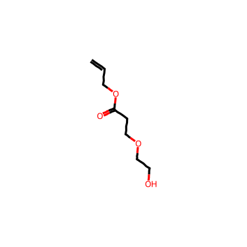 C=CCOC(=O)CCOCCO